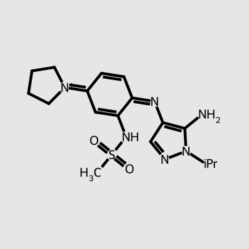 CC(C)n1ncc(/N=C2/C=CC(=[N+]3CCCC3)C=C2NS(C)(=O)=O)c1N